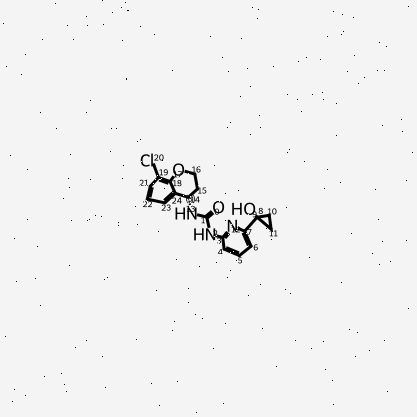 O=C(Nc1cccc(C2(O)CC2)n1)N[C@H]1CCOc2c(Cl)cccc21